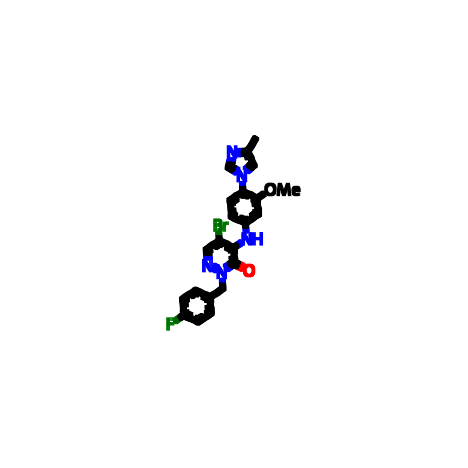 COc1cc(Nc2c(Br)cnn(Cc3ccc(F)cc3)c2=O)ccc1-n1cnc(C)c1